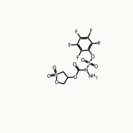 NN(C(=O)OC1COS(=O)(=O)C1)S(=O)(=O)Oc1c(F)c(F)c(F)c(F)c1F